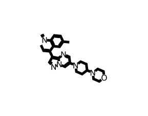 C=Nc1ccc(C)cc1/C(=C\C)c1cnn2cc(N3CCC(N4CCOCC4)CC3)cnc12